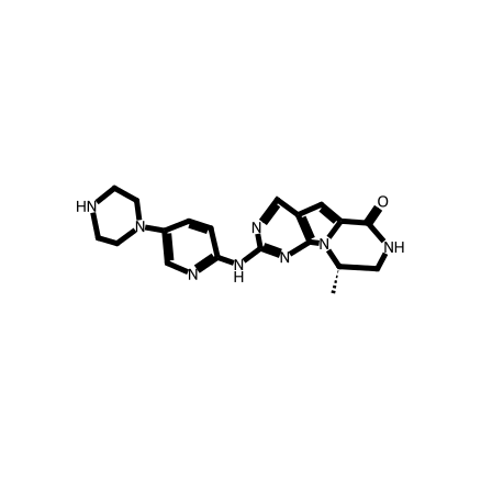 C[C@H]1CNC(=O)c2cc3cnc(Nc4ccc(N5CCNCC5)cn4)nc3n21